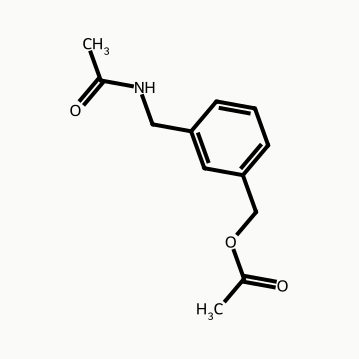 CC(=O)NCc1cccc(COC(C)=O)c1